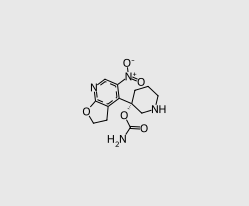 NC(=O)O[C@]1(c2c([N+](=O)[O-])cnc3c2CCO3)CCCNC1